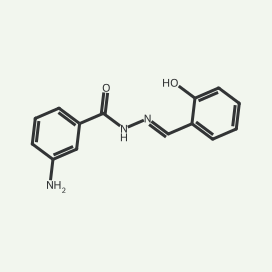 Nc1cccc(C(=O)N/N=C/c2ccccc2O)c1